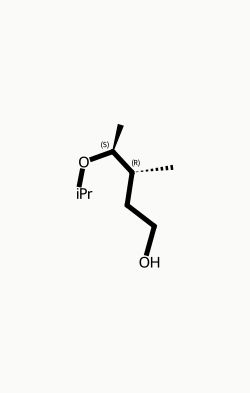 CC(C)O[C@@H](C)[C@H](C)CCO